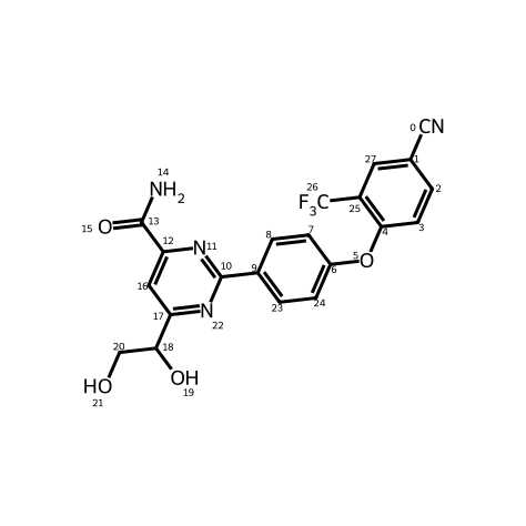 N#Cc1ccc(Oc2ccc(-c3nc(C(N)=O)cc(C(O)CO)n3)cc2)c(C(F)(F)F)c1